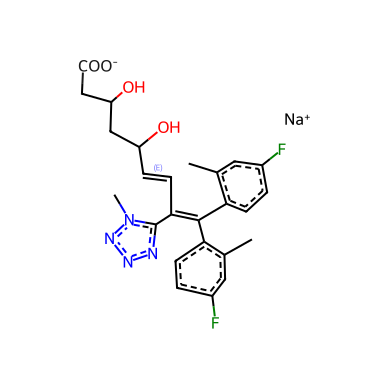 Cc1cc(F)ccc1C(=C(/C=C/C(O)CC(O)CC(=O)[O-])c1nnnn1C)c1ccc(F)cc1C.[Na+]